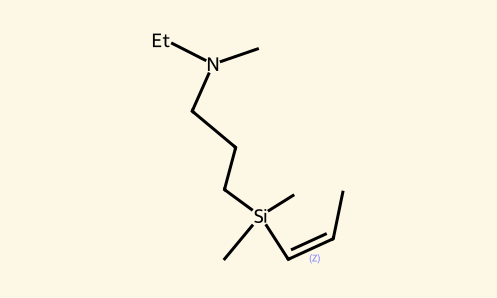 C/C=C\[Si](C)(C)CCCN(C)CC